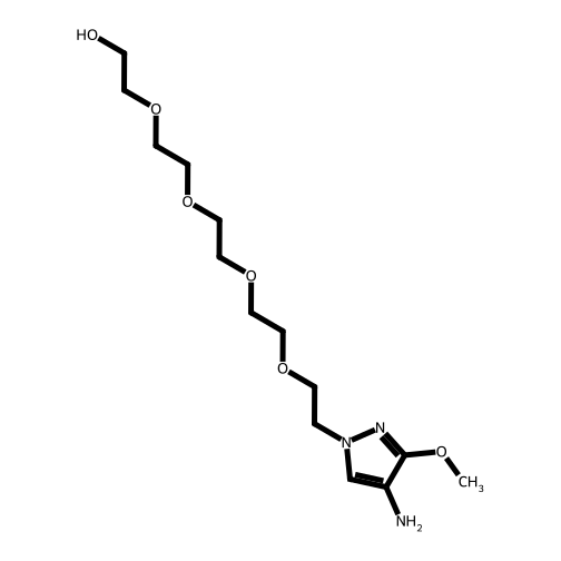 COc1nn(CCOCCOCCOCCOCCO)cc1N